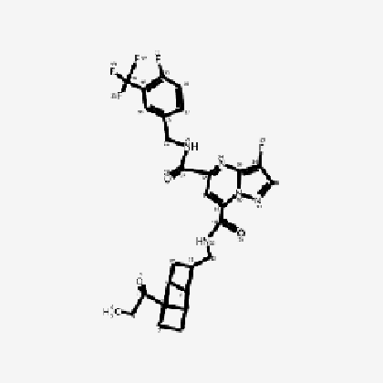 CCC(=O)C12C3C4C1C1C2C3C41CNC(=O)c1cc(C(=O)NCc2ccc(F)c(C(F)(F)F)c2)nc2c(F)cnn12